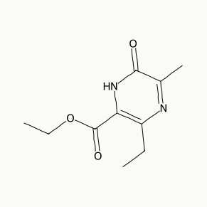 CCOC(=O)c1[nH]c(=O)c(C)nc1CC